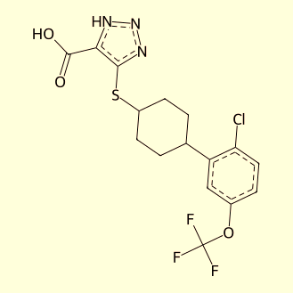 O=C(O)c1[nH]nnc1SC1CCC(c2cc(OC(F)(F)F)ccc2Cl)CC1